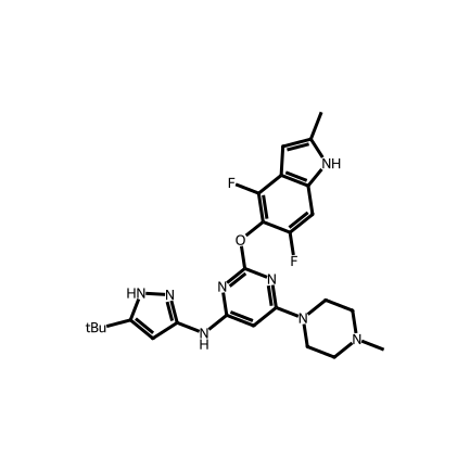 Cc1cc2c(F)c(Oc3nc(Nc4cc(C(C)(C)C)[nH]n4)cc(N4CCN(C)CC4)n3)c(F)cc2[nH]1